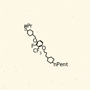 CCCCCC1CCC(CCCOc2ccc(OCC3CCC(SCCC)CC3)c(F)c2C(F)(F)F)CC1